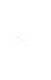 CCOC(=O)c1cc(C)nc2c(O)cccc12